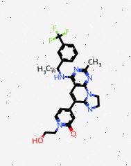 Cc1nc(N[C@H](C)c2cccc(C(F)(F)F)c2)c2c(n1)N1CCN=C1C(c1ccn(CCO)c(=O)c1)=C2